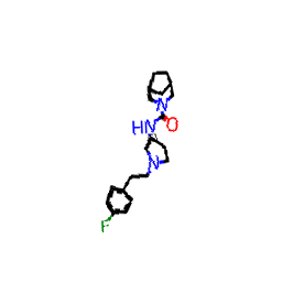 O=C(N[C@H]1CCN(CCc2ccc(F)cc2)C1)N1CC2CCC(C2)C1